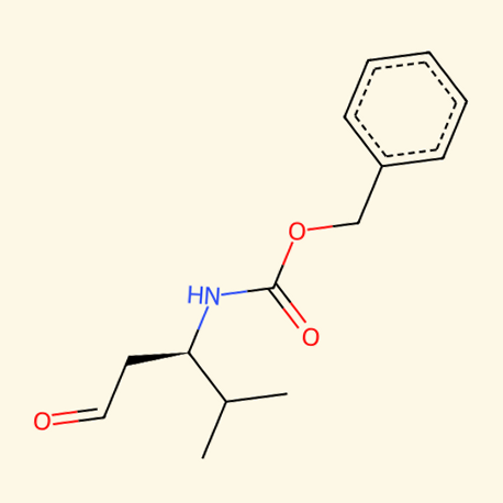 CC(C)[C@@H](CC=O)NC(=O)OCc1ccccc1